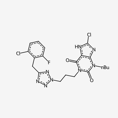 CCCCn1c(=O)n(CCCn2nnc(Cc3c(F)cccc3Cl)n2)c(=O)c2[nH]c(Cl)nc21